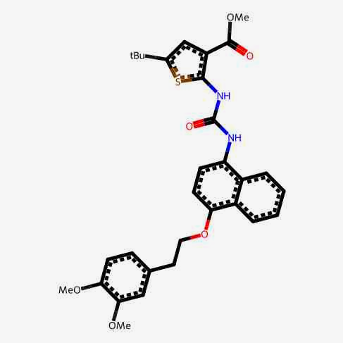 COC(=O)c1cc(C(C)(C)C)sc1NC(=O)Nc1ccc(OCCc2ccc(OC)c(OC)c2)c2ccccc12